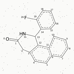 O=C1Cc2ccc3ccccc3c2C(c2ccccc2F)N1